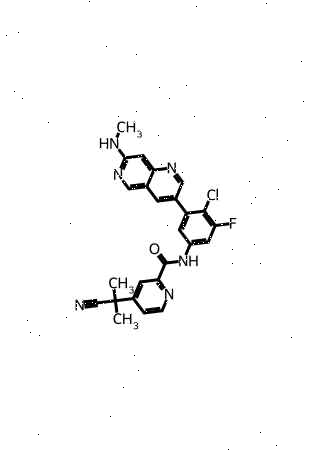 CNc1cc2ncc(-c3cc(NC(=O)c4cc(C(C)(C)C#N)ccn4)cc(F)c3Cl)cc2cn1